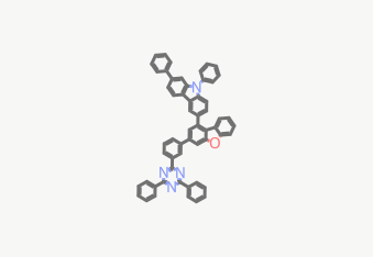 c1ccc(-c2ccc3c4cc(-c5cc(-c6cccc(-c7nc(-c8ccccc8)nc(-c8ccccc8)n7)c6)cc6oc7ccccc7c56)ccc4n(-c4ccccc4)c3c2)cc1